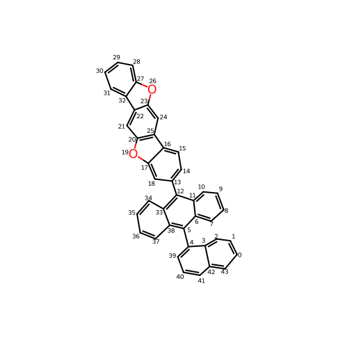 c1ccc2c(-c3c4ccccc4c(-c4ccc5c(c4)oc4cc6c(cc45)oc4ccccc46)c4ccccc34)cccc2c1